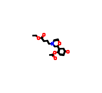 CCOC(=O)CCCN1C=COC(C2=C(OC(C)=O)C=CC(=O)C2)C1